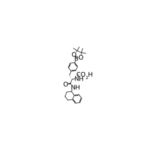 CC1(C)OB(c2ccc(C[C@H](NC(=O)O)C(=O)N[C@@H]3CCCc4ccccc43)cc2)OC1(C)C